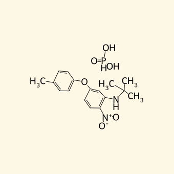 Cc1ccc(Oc2ccc([N+](=O)[O-])c(NC(C)(C)C)c2)cc1.O=[PH](O)O